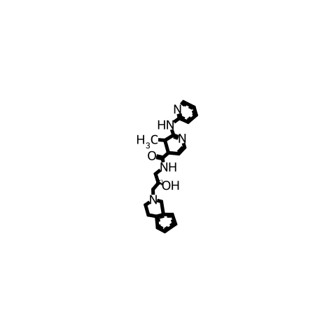 CC1C(Nc2ccccn2)=NC=CC1C(=O)NC[C@H](O)CN1CCc2ccccc2C1